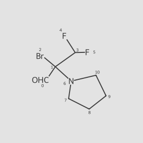 O=CC(Br)(C(F)F)N1CCCC1